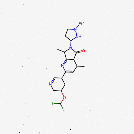 CCN1CCC(N2C(=O)C3C(=NC(C4C=NCC(OC(F)F)C4)=CC3C)C2C)N1